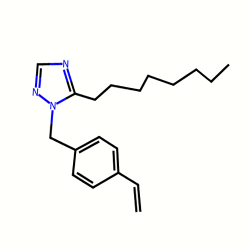 C=Cc1ccc(Cn2ncnc2CCCCCCCC)cc1